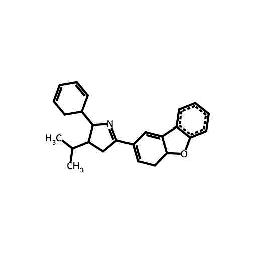 CC(C)C1CC(C2=CCC3Oc4ccccc4C3=C2)=NC1C1C=CC=CC1